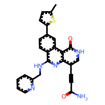 Cc1ccc(-c2ccc3c(NCc4ccccn4)nc4c(C#CC(N)=O)c[nH]c(=O)c4c3c2)s1